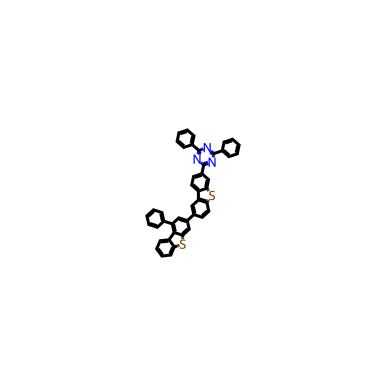 c1ccc(-c2nc(-c3ccccc3)nc(-c3ccc4c(c3)sc3ccc(-c5cc(-c6ccccc6)c6c(c5)sc5ccccc56)cc34)n2)cc1